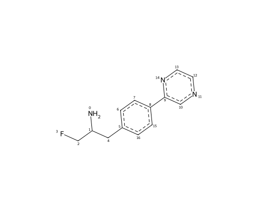 NC(CF)Cc1ccc(-c2cnccn2)cc1